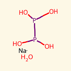 O.OP(O)P(O)O.[Na]